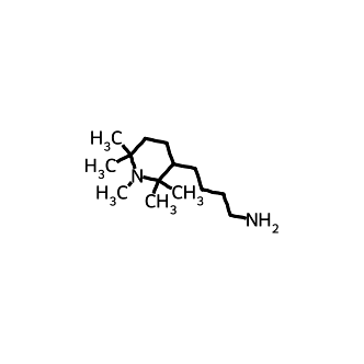 CN1C(C)(C)CCC(CCCCN)C1(C)C